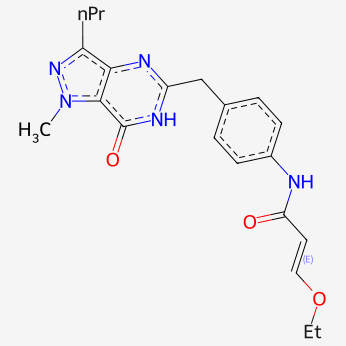 CCCc1nn(C)c2c(=O)[nH]c(Cc3ccc(NC(=O)/C=C/OCC)cc3)nc12